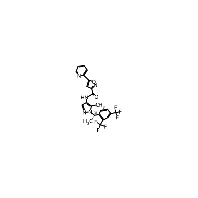 Cc1c(NC(=O)c2cc(-c3ccccn3)on2)cnn1[C@@H](C)c1ccc(C(F)(F)F)cc1C(F)(F)F